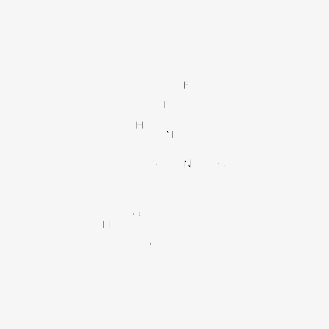 COC(=O)c1cc(-n2c(=O)cc(C(F)(F)F)n(C)c2=O)ccc1Cl